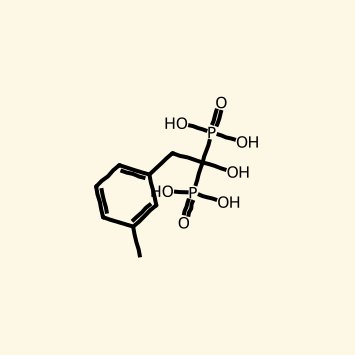 Cc1cccc(CC(O)(P(=O)(O)O)P(=O)(O)O)c1